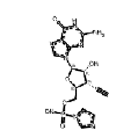 C#C[C@H]1[C@@H](O)[C@H](n2cnc3c(=O)[nH]c(N)nc32)O[C@@H]1COP(=O)(N=O)n1ccnc1